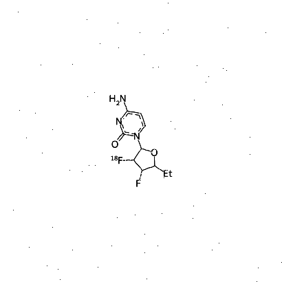 CCC1OC(n2ccc(N)nc2=O)C([18F])C1F